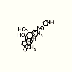 C[C@]12CC/C(=N\O[C@@H]3CCNC3)CC1[C@@H](CO)[C@@H](O)[C@@H]1[C@@H]2CC[C@]2(C)C(=O)CC[C@@H]12